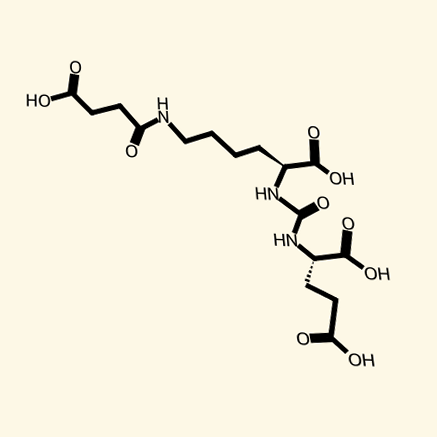 O=C(O)CCC(=O)NCCCC[C@H](NC(=O)N[C@@H](CCC(=O)O)C(=O)O)C(=O)O